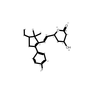 CCC1CC(c2ccc(F)cc2)=C(C=CC2CC(O)CC(=O)O2)C1(C)C